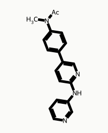 CC(=O)N(C)c1ccc(-c2ccc(Nc3cccnc3)nc2)cc1